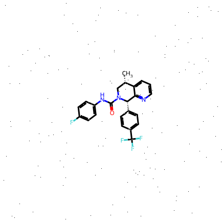 C[C@H]1CN(C(=O)Nc2ccc(F)cc2)[C@@H](c2ccc(C(F)(F)F)cc2)c2ncccc21